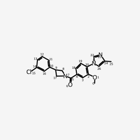 COc1cc(C(=O)N2CC(c3cccc(Cl)c3)C2)ccc1-n1cnc(C)c1